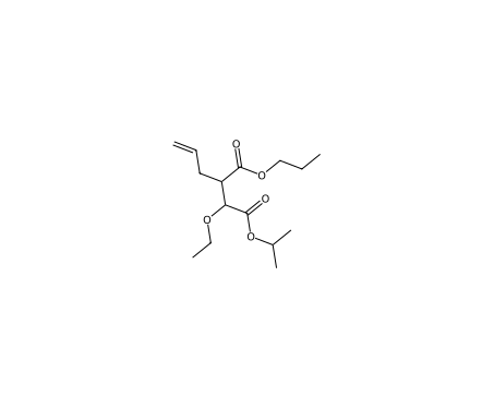 C=CCC(C(=O)OCCC)C(OCC)C(=O)OC(C)C